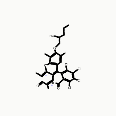 CCCC(O)COc1c(I)cc2c(c1I)O/C(=C\I)C(/C=C(/I)C=O)=C2c1c(Cl)c(Cl)c(Cl)c(Cl)c1C(=O)O